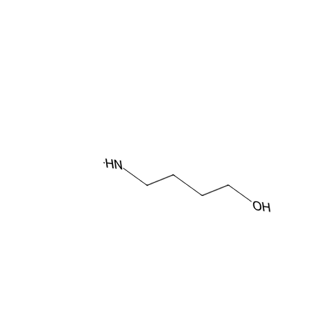 [NH]CCCCO